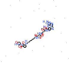 COC(=O)[C@H](CCC(=O)NCCCCCCCCNc1cccc2c1C(=O)N(C1CCC(=O)NC1=O)C2=O)NC(=O)CC[C@H](NC(=O)c1ccc(N(C)Cc2cnc3nc(N)nc(N)c3n2)cc1)C(=O)OC